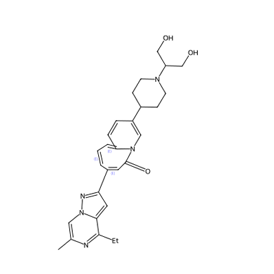 CCc1nc(C)cn2nc(C3=C\C(=O)N4C=C(C5CCN(C(CO)CO)CC5)C=C\C4=C/C=C/3)cc12